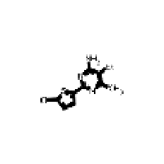 CCc1c(C)nc(-c2ccc(Cl)s2)nc1N